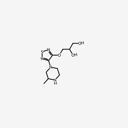 CC1CN(c2nsnc2OCC(O)CO)CCN1